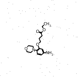 CCOC(=O)CCCOc1cc(N)ccc1N1CCOCC1